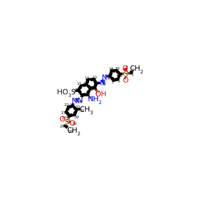 C=CS(=O)(=O)c1ccc(/N=N/c2ccc3cc(S(=O)(=O)O)c(/N=N/c4ccc(S(=O)(=O)C=C)cc4C)c(N)c3c2O)cc1